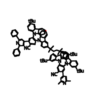 Cc1cc(-c2cc(-n3c4cc(C(C)(C)C)ccc4c4ccc(C(C)(C)CCC(C)(C)c5ccc6c(c5)c5ccccc5n6-c5cc(C#N)c(-c6cc(-c7ccccc7)nc(-c7ccccc7)c6)cc5-n5c6ccccc6c6cc(C(C)(C)C)ccc65)cc43)c(-n3c4cc(C(C)(C)C)ccc4c4ccc(C(C)(C)C)cc43)cc2C#N)cc(C)n1